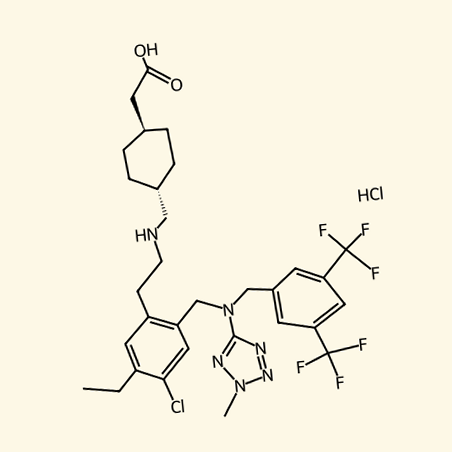 CCc1cc(CCNC[C@H]2CC[C@H](CC(=O)O)CC2)c(CN(Cc2cc(C(F)(F)F)cc(C(F)(F)F)c2)c2nnn(C)n2)cc1Cl.Cl